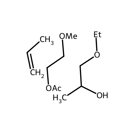 C=CC.CCOCC(C)O.COCCOC(C)=O